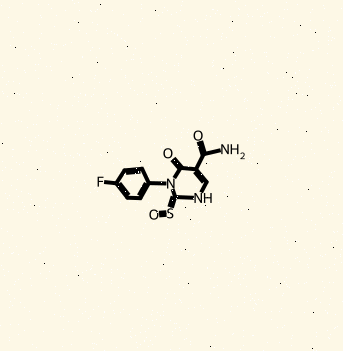 NC(=O)c1c[nH]c(=S=O)n(-c2ccc(F)cc2)c1=O